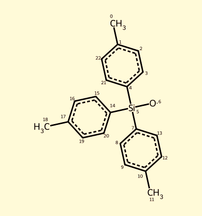 Cc1ccc([Si]([O])(c2ccc(C)cc2)c2ccc(C)cc2)cc1